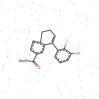 COC(=O)c1ccc2c(c1)C(c1cccc(Cl)c1F)=CCC2